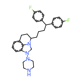 Fc1ccc(C(CCCC2CCc3cccc4c3N2CN4N2CCNCC2)c2ccc(F)cc2)cc1